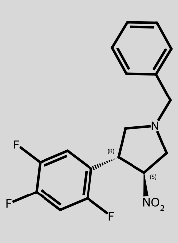 O=[N+]([O-])[C@@H]1CN(Cc2ccccc2)C[C@H]1c1cc(F)c(F)cc1F